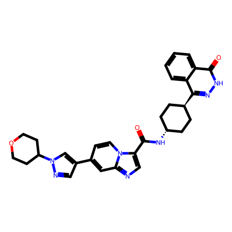 O=C(N[C@H]1CC[C@H](c2n[nH]c(=O)c3ccccc32)CC1)c1cnc2cc(-c3cnn(C4CCOCC4)c3)ccn12